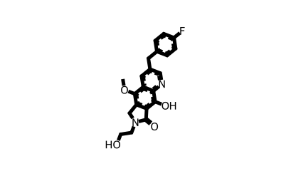 COc1c2c(c(O)c3ncc(Cc4ccc(F)cc4)cc13)C(=O)N(CCO)C2